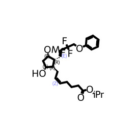 CO[C@@H]1C[C@H](O)[C@H](C/C=C\CCCC(=O)OC(C)C)[C@H]1/C=C/C(F)(F)COc1ccccc1